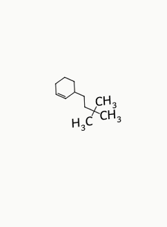 CC(C)(C)CCC1C=CCCC1